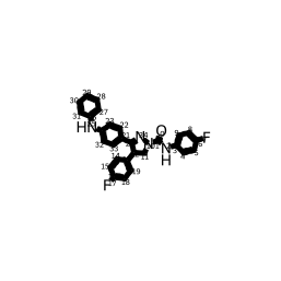 O=C(Nc1ccc(F)cc1)N1CC(c2ccc(F)cc2)C(c2ccc(Nc3ccccc3)cc2)=N1